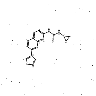 O=C(Nc1ccc2ncc(-c3cn[nH]c3)cc2n1)NC1CC1